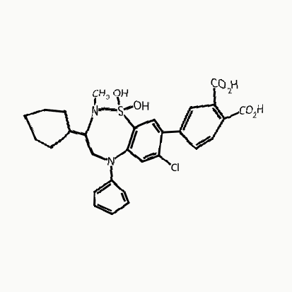 CN1C(C2CCCCC2)CN(c2ccccc2)c2cc(Cl)c(-c3ccc(C(=O)O)c(C(=O)O)c3)cc2S1(O)O